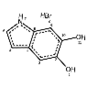 Br.Oc1cc2cc[nH]c2cc1O